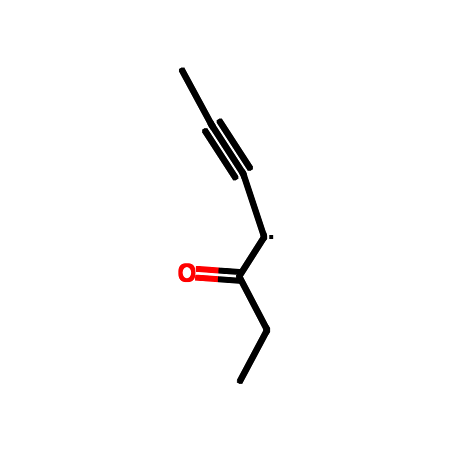 CC#C[CH]C(=O)CC